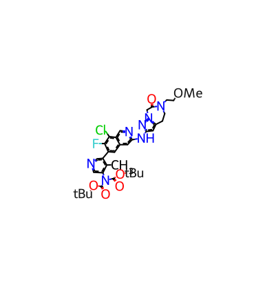 COCCN1CCc2cc(Nc3cc4cc(-c5cncc(N(C(=O)OC(C)(C)C)C(=O)OC(C)(C)C)c5C)c(F)c(Cl)c4cn3)nn2CC1=O